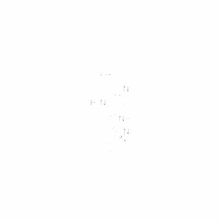 Nc1c(C(=O)Nc2nnc(-c3ccccc3)s2)sc2nc3c(cc12)C(=O)CCCC3